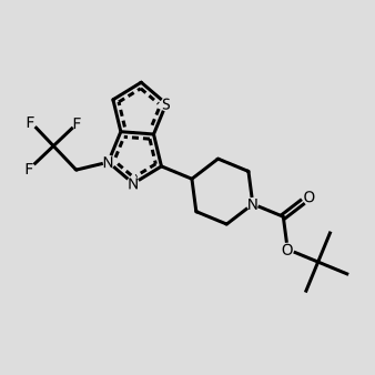 CC(C)(C)OC(=O)N1CCC(c2nn(CC(F)(F)F)c3ccsc23)CC1